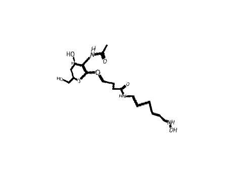 CC(=O)NC1C(OCCCC(=O)NCCCCCCNO)OC(CO)C[C@H]1O